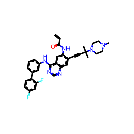 C=CC(=O)Nc1cc2c(Nc3cccc(-c4ccc(F)cc4F)c3)ncnc2cc1C#CC(C)(C)N1CCN(C)CC1